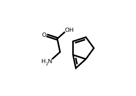 C1=CC2=CC2C1.NCC(=O)O